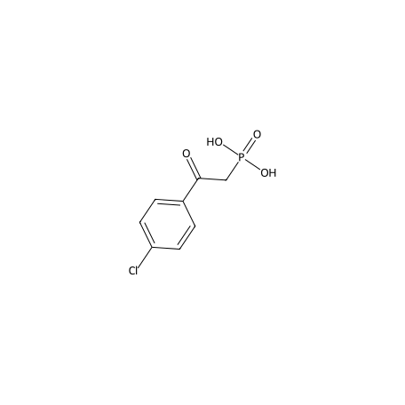 O=C(CP(=O)(O)O)c1ccc(Cl)cc1